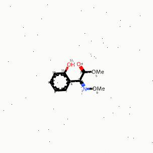 CO/N=C(\C(=O)OC)c1ccccc1O